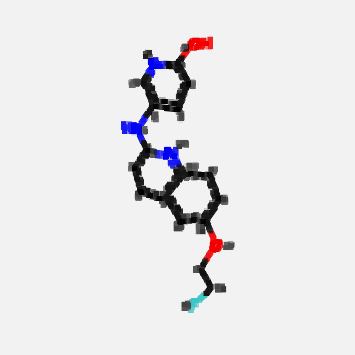 Oc1ccc(Nc2ccc3cc(OCCF)ccc3n2)cn1